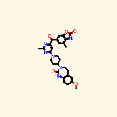 COc1ccc2c(c1)CCN(C1CCN(c3cc(C(=O)c4cc(C)c5[nH]c(=O)oc5c4)nc(C)n3)CC1)C(=O)N2